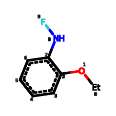 CCOc1ccccc1NF